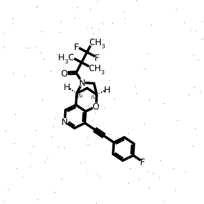 CC(F)(F)C(C)(C)C(=O)N1C[C@@H]2C[C@H]1c1cncc(C#Cc3ccc(F)cc3)c1O2